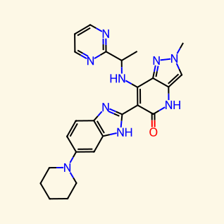 CC(Nc1c(-c2nc3ccc(N4CCCCC4)cc3[nH]2)c(=O)[nH]c2cn(C)nc12)c1ncccn1